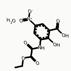 CCOC(=O)C(=O)Nc1cc([N+](=O)[O-])cc(C(=O)O)c1O.O